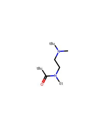 CCN(CCN(C)C(C)(C)C)C(=O)C(C)(C)C